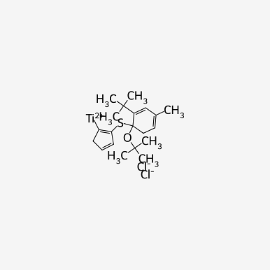 CC1=CCC(OC(C)(C)C)(SC2=[C]([Ti+2])CC=C2)C(C(C)(C)C)=C1.[Cl-].[Cl-]